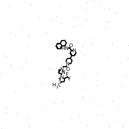 CC1CC(C(F)F)N(c2ccn(CC(=O)N3CCC(c4ccnc(C(=O)NC5CCCc6ccccc65)c4)CC3)n2)S1